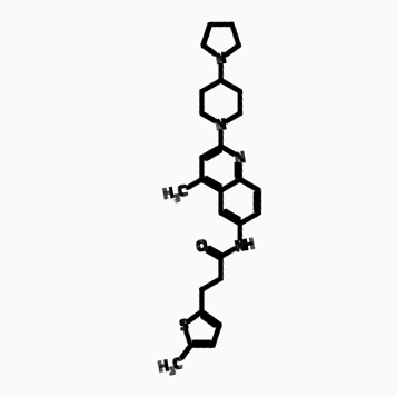 Cc1ccc(CCC(=O)Nc2ccc3nc(N4CCC(N5CCCC5)CC4)cc(C)c3c2)s1